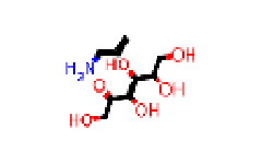 C=CCN.O=C(CO)C(O)C(O)C(O)CO